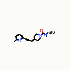 CCCCN(C)C(=O)N1CCC(=CC#Cc2cccc(C)n2)CC1